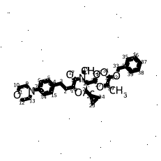 CC(=O)O[C@H](CCc1ccc(N2CCOCC2)cc1)C(=O)N(C)[C@@H](CC1CC1)C(=O)O[C@H](C)C(=O)OCc1ccccc1